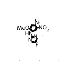 COc1cc(N(C)C)c([N+](=O)[O-])cc1Nc1ncc(F)cn1